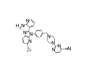 N#Cc1ccnc(N2CCN(Cc3ccc(-n4c(-c5cccnc5N)nc5ccc(C6CC6)nc54)cc3)CC2)n1